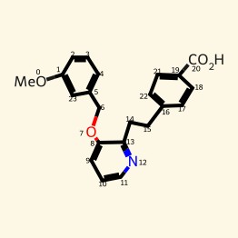 COc1cccc(COc2cccnc2CCc2ccc(C(=O)O)cc2)c1